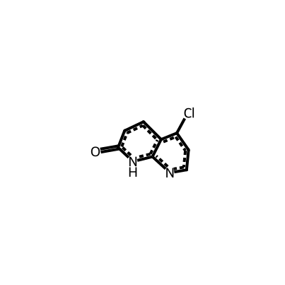 O=c1ccc2c(Cl)ccnc2[nH]1